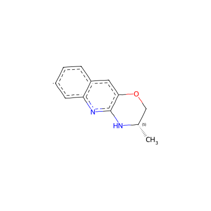 C[C@H]1COc2cc3cc[c]cc3nc2N1